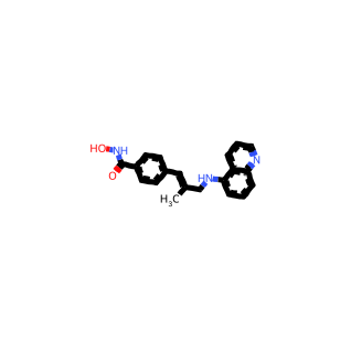 CC(=Cc1ccc(C(=O)NO)cc1)CNc1cccc2ncccc12